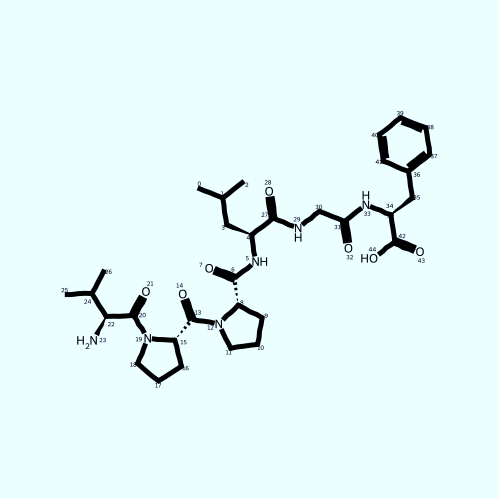 CC(C)C[C@H](NC(=O)[C@@H]1CCCN1C(=O)[C@@H]1CCCN1C(=O)[C@@H](N)C(C)C)C(=O)NCC(=O)N[C@@H](Cc1ccccc1)C(=O)O